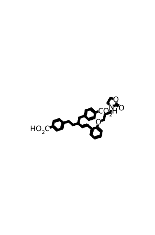 O=C(O)c1ccc(CCC(C=Cc2ccccc2OCCCN2CCOC2=O)Cc2ccc(C(=O)O)cc2)cc1